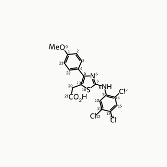 COc1ccc(-c2nc(Nc3cc(Cl)c(Cl)cc3Cl)sc2CC(=O)O)cc1